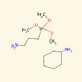 CO[Si](CCCN)(OC)OC.NC1CCCCC1